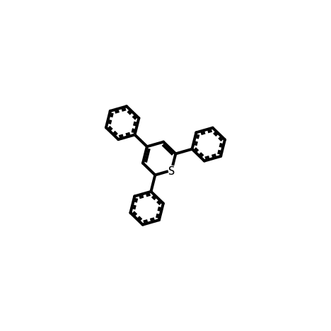 C1=C(c2ccccc2)C=C(c2ccccc2)SC1c1ccccc1